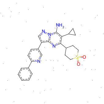 Nc1c(C2CC2)c(C2CCS(=O)(=O)CC2)nc2c(-c3ccc(-c4ccccc4)nc3)cnn12